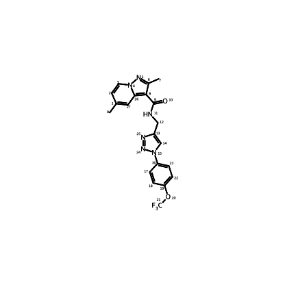 Cc1ccn2nc(C)c(C(=O)NCc3cn(-c4ccc(OC(F)(F)F)cc4)nn3)c2c1